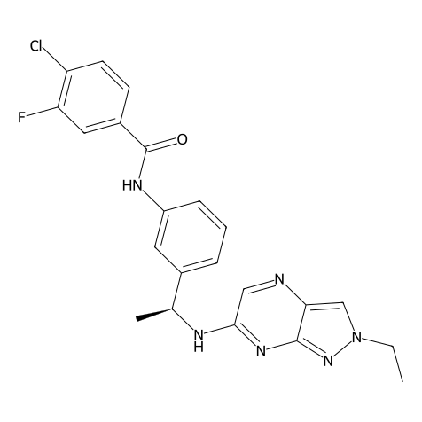 CCn1cc2ncc(N[C@@H](C)c3cccc(NC(=O)c4ccc(Cl)c(F)c4)c3)nc2n1